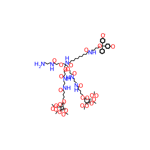 COc1ccc(C(OCCCCNC(=O)CCCCCCCCC(=O)NC(COCCC(=O)NCCCN)(COCCC(=O)NCCCNC(=O)CCCCO[C@H]2C[C@@H](OC(C)=O)[C@@H](OC(C)=O)[C@@H](COC(C)=O)O2)COCCC(=O)NCCCNC(=O)CCCCO[C@@H]2O[C@@]3(COC(C)=O)C2[C@@H](OC(C)=O)[C@H]3OC(C)=O)(c2ccccc2)c2ccc(OC)cc2)cc1